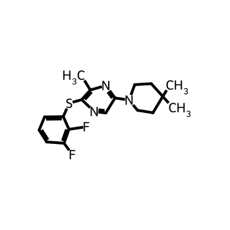 Cc1nc(N2CCC(C)(C)CC2)cnc1Sc1cccc(F)c1F